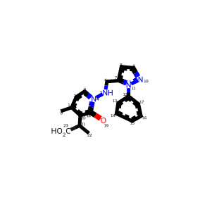 Cc1ccn(NCc2ccnn2-c2ccccc2)c(=O)c1C(C)C(=O)O